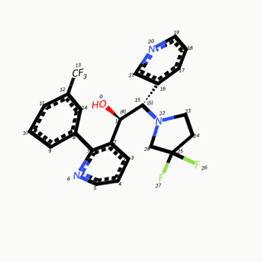 O[C@H](c1cccnc1-c1cccc(C(F)(F)F)c1)[C@H](c1cccnc1)N1CCC(F)(F)C1